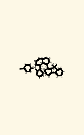 Cc1ccc(-n2c3ccccc3c3c4c(-c5cccc6c5C(C)(C)c5ccccc5-6)cccc4ccc32)cc1